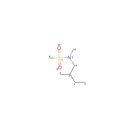 CCC(C)CN(C)S(C)(=O)=O